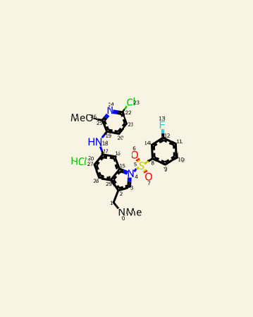 CNCc1cn(S(=O)(=O)c2cccc(F)c2)c2cc(Nc3ccc(Cl)nc3OC)ccc12.Cl